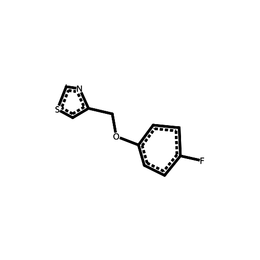 Fc1ccc(OCc2cs[c]n2)cc1